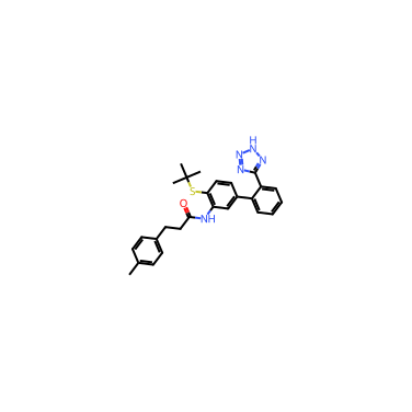 Cc1ccc(CCC(=O)Nc2cc(-c3ccccc3-c3nn[nH]n3)ccc2SC(C)(C)C)cc1